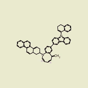 C=C1/C=C\C=C/N(C2CC=C3c4ccc5ccccc5c4C=CC3C2)c2ccc(-c3ccc4c(c3)c3ccccc3n4C3=CCCc4ccccc43)cc21